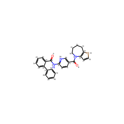 O=C(Nc1ccc(C(=O)N2CCCCc3sccc32)cn1)c1ccccc1-c1ccccc1